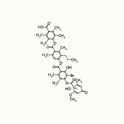 CCCc1c(OC(=O)c2c(C)c(C)c(OC(=O)[C@@]3(O)C(C)=CC(=O)C=C3OC)c(Br)c2O)cc(C)c(C(=O)Oc2c(C)c(C)c(C(=O)O)c(C)c2C)c1C